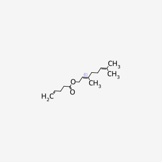 C=CCCC(=O)OC/C=C(\C)CCC=C(C)C